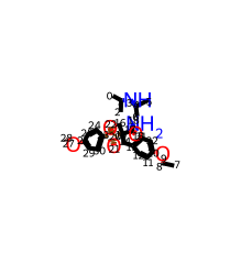 CC(C)NC(C)C.CCOc1ccc(CC(C)(C(N)=O)S(=O)(=O)c2ccc(OC)cc2)cc1